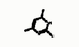 CC1=CC(C)NC(Cl)=N1